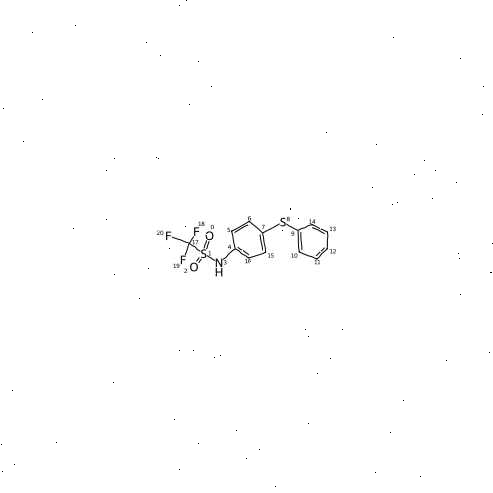 O=S(=O)(Nc1ccc(Sc2ccccc2)cc1)C(F)(F)F